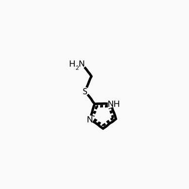 NCSc1ncc[nH]1